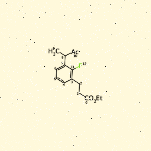 CCOC(=O)CCc1cccc(C(C)C(C)=O)c1F